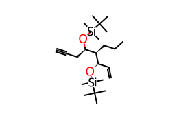 C#CC[C@@H](O[Si](C)(C)C(C)(C)C)[C@@H](CCC)[C@H](C=C)O[Si](C)(C)C(C)(C)C